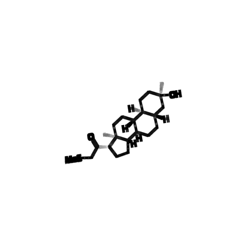 CSCC(=O)[C@H]1CC[C@H]2[C@@H]3CC[C@H]4C[C@](C)(O)CC[C@@H]4[C@H]3CC[C@]12C